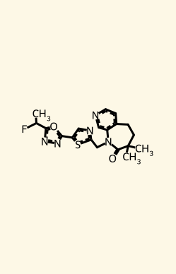 CC(F)c1nnc(-c2cnc(CN3C(=O)C(C)(C)CCc4ccncc43)s2)o1